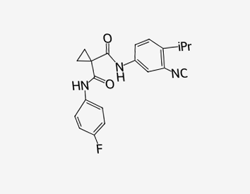 [C-]#[N+]c1cc(NC(=O)C2(C(=O)Nc3ccc(F)cc3)CC2)ccc1C(C)C